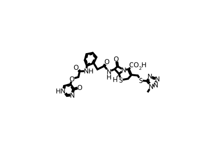 Cn1nnnc1SCC1=C(C(=O)O)N2C(=O)C(NC(=O)Cc3ccccc3NC(=O)COc3c[nH]cnc3=O)[C@@H]2SC1